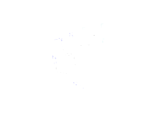 Nc1cnc2[nH]nc(CC(F)(F)F)c2c1